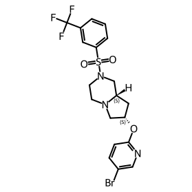 O=S(=O)(c1cccc(C(F)(F)F)c1)N1CCN2C[C@@H](Oc3ccc(Br)cn3)C[C@H]2C1